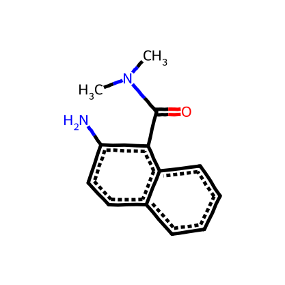 CN(C)C(=O)c1c(N)ccc2ccccc12